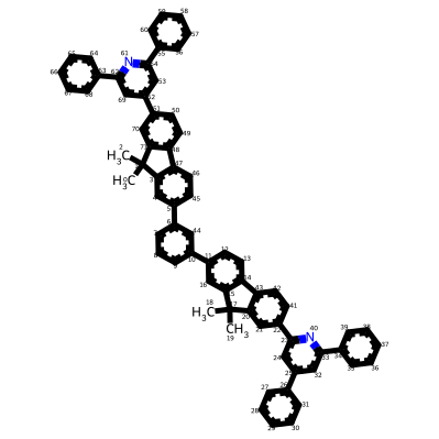 CC1(C)c2cc(-c3cccc(-c4ccc5c(c4)C(C)(C)c4cc(-c6cc(-c7ccccc7)cc(-c7ccccc7)n6)ccc4-5)c3)ccc2-c2ccc(-c3cc(-c4ccccc4)nc(-c4ccccc4)c3)cc21